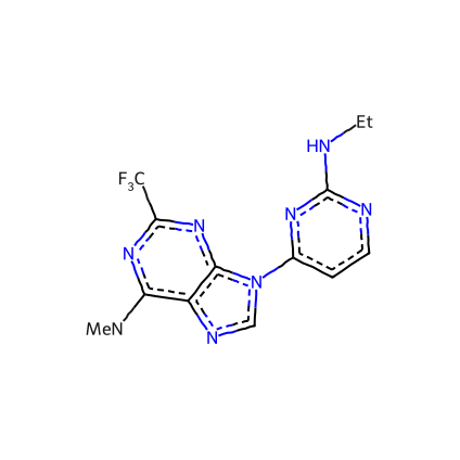 CCNc1nccc(-n2cnc3c(NC)nc(C(F)(F)F)nc32)n1